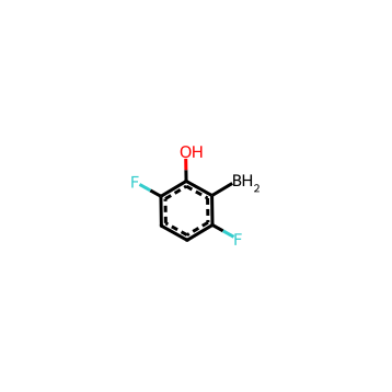 Bc1c(F)ccc(F)c1O